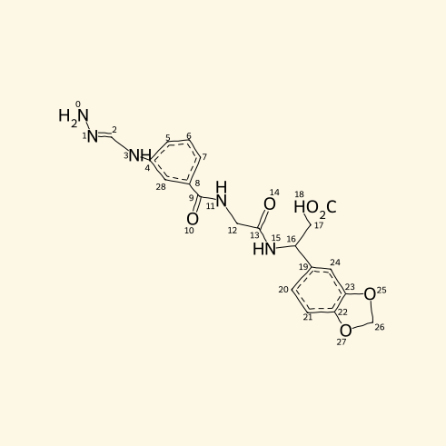 NN=CNc1cccc(C(=O)NCC(=O)NC(CC(=O)O)c2ccc3c(c2)OCO3)c1